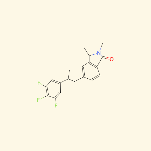 CC(Cc1ccc2c(c1)C(C)N(C)C2=O)c1cc(F)c(F)c(F)c1